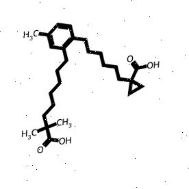 Cc1ccc(CCCCCCC2(C(=O)O)CC2)c(CCCCCCC(C)(C)C(=O)O)c1